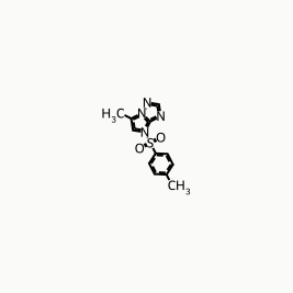 Cc1ccc(S(=O)(=O)n2cc(C)n3ncnc23)cc1